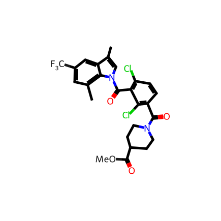 COC(=O)C1CCN(C(=O)c2ccc(Cl)c(C(=O)n3cc(C)c4cc(C(F)(F)F)cc(C)c43)c2Cl)CC1